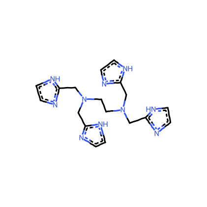 c1c[nH]c(CN(CCN(Cc2ncc[nH]2)Cc2ncc[nH]2)Cc2ncc[nH]2)n1